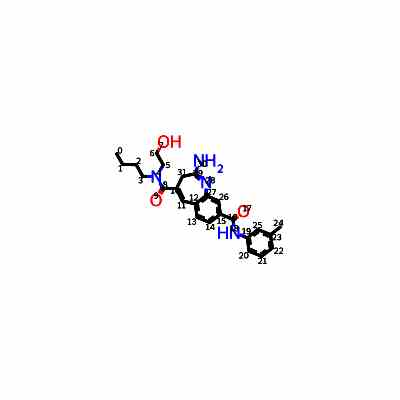 CCCCN(CCO)C(=O)C1=Cc2ccc(C(=O)Nc3cccc(C)c3)cc2N=C(N)C1